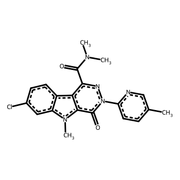 Cc1ccc(-n2nc(C(=O)N(C)C)c3c4ccc(Cl)cc4n(C)c3c2=O)nc1